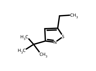 CCc1cc(C(C)(C)C)ns1